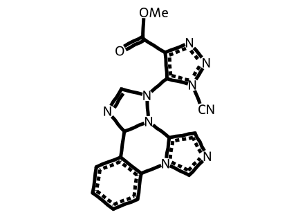 COC(=O)c1nnn(C#N)c1N1C=NC2c3ccccc3-n3cncc3N21